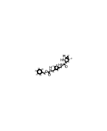 C[C@]12C[C@@H](C(=O)NCc3cc(CNC(=O)OCc4ccccc4)cs3)N[C@H]1C2